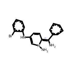 N/C(=C1/C=CC(Nc2ccccc2Br)=CN1N)c1ccccc1